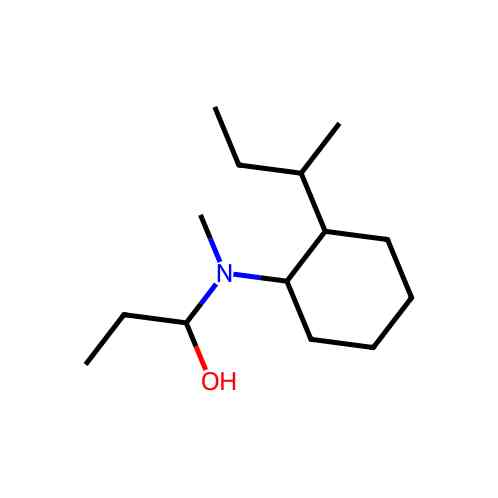 CCC(C)C1CCCCC1N(C)C(O)CC